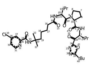 CC(C)[C@H](NC(=O)[C@@H]1CCCN1C(=O)[C@@H](NC(=O)CCCCC(C)(C)NC(=O)c1cc(Cl)ccn1)C(C)C)C(=O)c1nnc(C(C)(C)C)o1